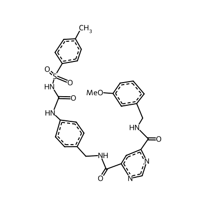 COc1cccc(CNC(=O)c2cc(C(=O)NCc3ccc(NC(=O)NS(=O)(=O)c4ccc(C)cc4)cc3)ncn2)c1